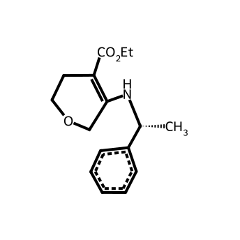 CCOC(=O)C1=C(N[C@H](C)c2ccccc2)COCC1